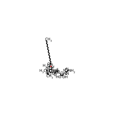 CCCCCCCCCCCCCCCCCC(=O)OC[C@H](F)[C@H]1O[C@@H](OP(=O)(O)OP(O)(=S)OC[C@H]2O[C@@H](n3cnc4c(N)ncnc43)[C@H](O)[C@@H]2O)[C@@H](OC(C)=O)[C@@H](OC(C)=O)[C@@H]1OC(C)=O